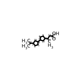 CC(C)C1CCC(C2CCC(C(C)CC(=O)O)C2)C1